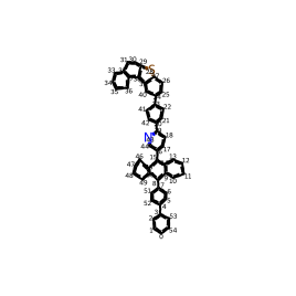 c1ccc(-c2ccc(-c3c4ccccc4c(-c4ccc(-c5ccc(-c6ccc7sc8ccc9ccccc9c8c7c6)cc5)nc4)c4ccccc34)cc2)cc1